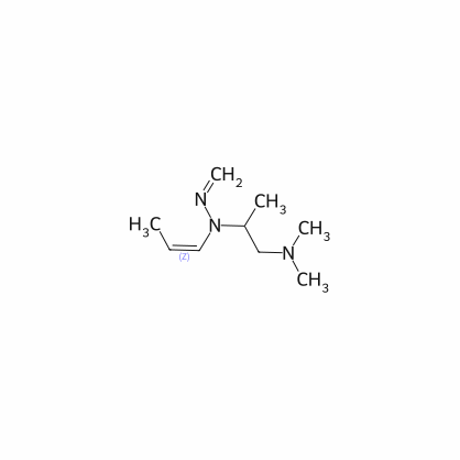 C=NN(/C=C\C)C(C)CN(C)C